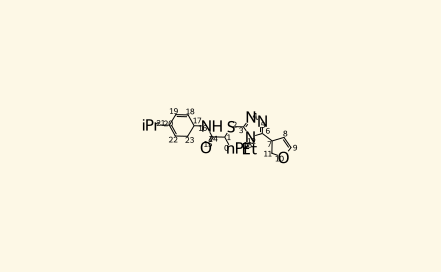 CCCC(Sc1nnc(C2C=COC2)n1CC)C(=O)NC1C=CC(C(C)C)=CC1